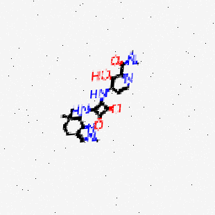 CN(C)C(=O)c1nccc(Nc2c(NC3c4nn(C)cc4CCC3(C)C)c(=O)c2=O)c1O